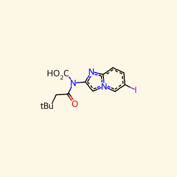 CC(C)(C)CC(=O)N(C(=O)O)c1cn2cc(I)ccc2n1